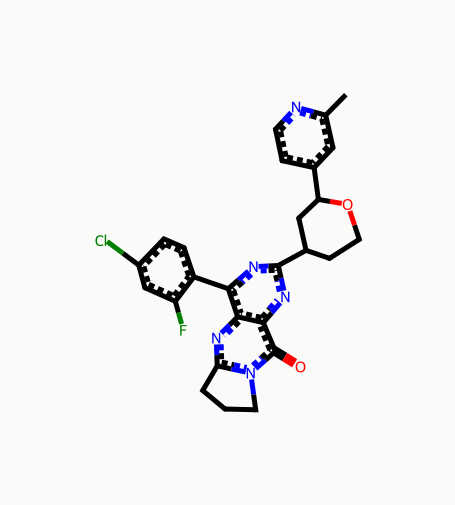 Cc1cc(C2CC(c3nc(-c4ccc(Cl)cc4F)c4nc5n(c(=O)c4n3)CCC5)CCO2)ccn1